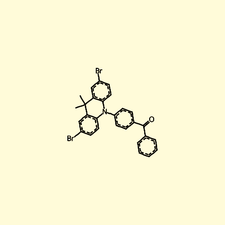 CC1(C)c2cc(Br)ccc2N(c2ccc(C(=O)c3ccccc3)cc2)c2ccc(Br)cc21